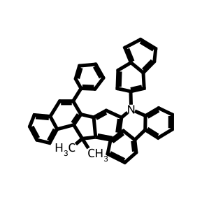 CC1(C)c2ccc(N(c3ccc4ccccc4c3)c3ccccc3-c3ccccc3)cc2-c2c(-c3ccccc3)cc3ccccc3c21